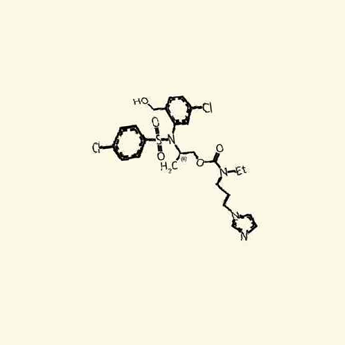 CCN(CCCn1ccnc1)C(=O)OC[C@@H](C)N(c1cc(Cl)ccc1CO)S(=O)(=O)c1ccc(Cl)cc1